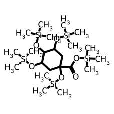 C[Si](C)(C)OC(=O)C1(O[Si](C)(C)C)CC(O[Si](C)(C)C)C(O[Si](C)(C)C)C(O[Si](C)(C)C)C1